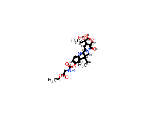 CCOC(=O)CNC(=O)Oc1ccc2nc3c(c(CC)c2c1)Cn1c-3cc2c(c1=O)COC(=O)C2(O)CC